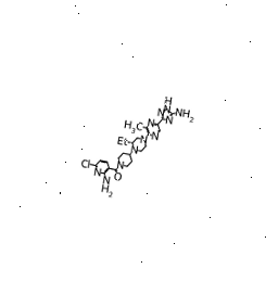 CC[C@H]1CN(c2ncc(-c3n[nH]c(N)n3)nc2C)CCN1C1CCN(C(=O)c2ccc(Cl)nc2N)CC1